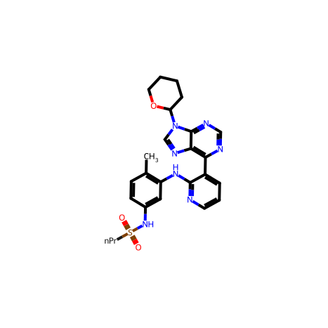 CCCS(=O)(=O)Nc1ccc(C)c(Nc2ncccc2-c2ncnc3c2ncn3C2CCCCO2)c1